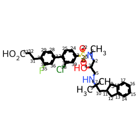 CN(CC(O)CNC(C)(C)CC1Cc2ccccc2C1)S(=O)(=O)c1ccc(-c2ccc(CCC(=O)O)c(F)c2)c(Cl)c1